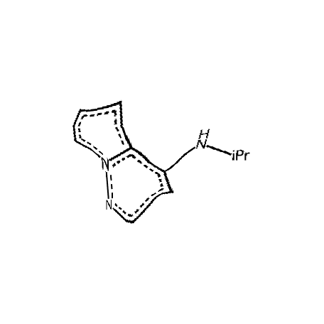 CC(C)Nc1ccnn2cccc12